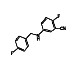 N#Cc1cc(NCc2ccc(F)cc2)ccc1F